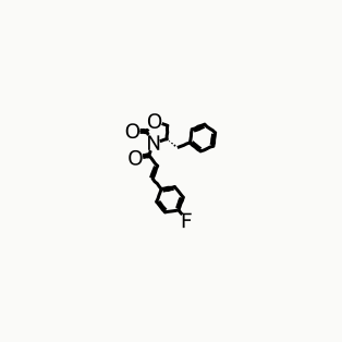 O=C(C=Cc1ccc(F)cc1)N1C(=O)OC[C@@H]1Cc1ccccc1